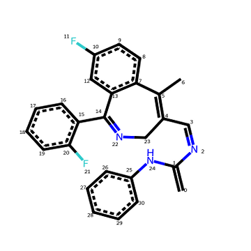 C=C(/N=C\C1=C(C)c2ccc(F)cc2C(c2ccccc2F)=NC1)Nc1ccccc1